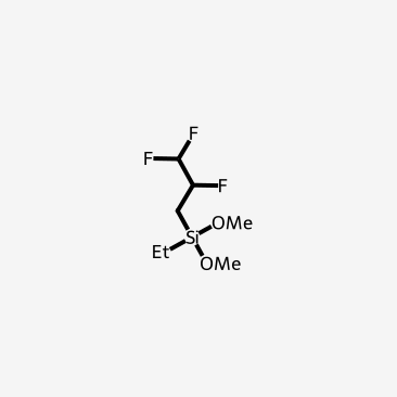 CC[Si](CC(F)C(F)F)(OC)OC